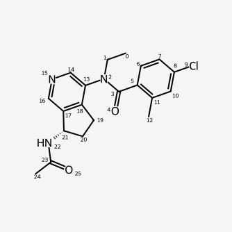 CCN(C(=O)c1ccc(Cl)cc1C)c1cncc2c1CC[C@@H]2NC(C)=O